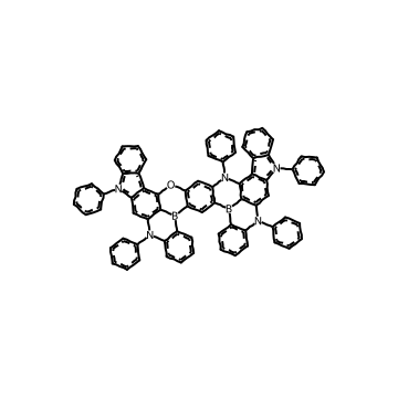 c1ccc(N2c3ccccc3B3c4cc5c(cc4Oc4c3c2cc2c4c3ccccc3n2-c2ccccc2)N(c2ccccc2)c2c3c(cc4c2c2ccccc2n4-c2ccccc2)N(c2ccccc2)c2ccccc2B53)cc1